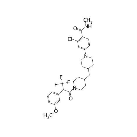 CNC(=O)c1ccc(N2CCC(CC3CCN(C(=O)C(c4cccc(OC)c4)C(F)(F)F)CC3)CC2)cc1Cl